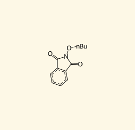 CCCCON1C(=O)c2ccccc2C1=O